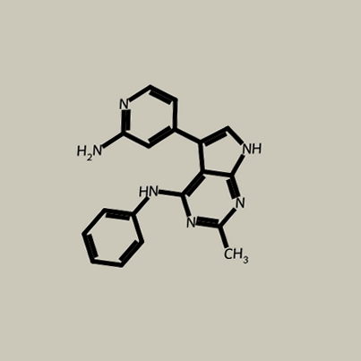 Cc1nc(Nc2ccccc2)c2c(-c3ccnc(N)c3)c[nH]c2n1